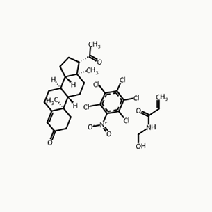 C=CC(=O)NCO.CC(=O)[C@H]1CC[C@H]2[C@@H]3CCC4=CC(=O)CC[C@]4(C)[C@H]3CC[C@]12C.O=[N+]([O-])c1c(Cl)c(Cl)c(Cl)c(Cl)c1Cl